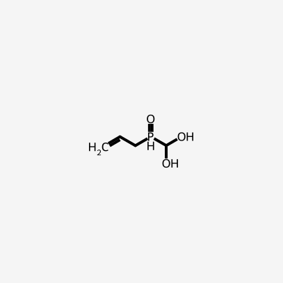 C=CC[PH](=O)C(O)O